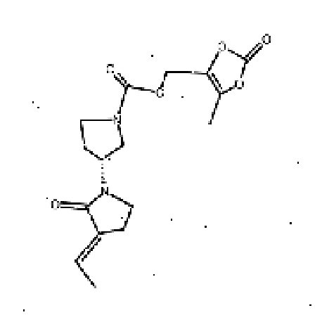 C/C=C1\CCN([C@@H]2CCN(C(=O)OCc3oc(=O)oc3C)C2)C1=O